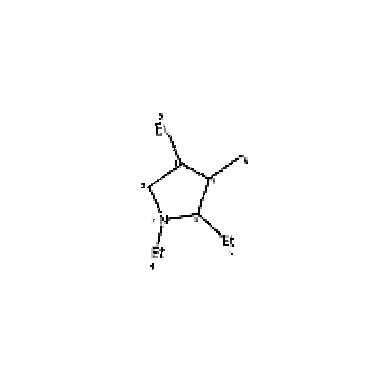 CCC1CN(CC)C(CC)C1C